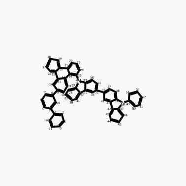 c1ccc(-c2cccc(-c3ccc4c(c3)c3ccccc3c3cccc(-n5c6ccccc6c6cc(-c7ccc8c(c7)c7ccccc7n8-c7ccccc7)ccc65)c34)c2)cc1